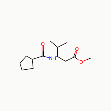 COC(=O)CC(NC(=O)C1CCCC1)C(C)C